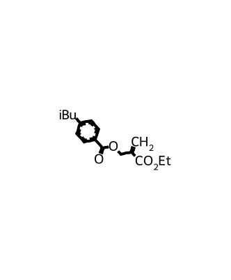 C=C(COC(=O)c1ccc(C(C)CC)cc1)C(=O)OCC